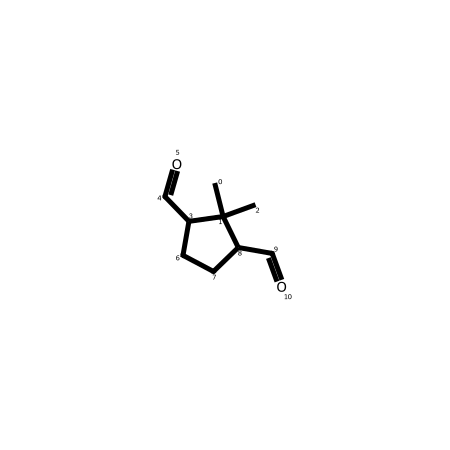 CC1(C)C(C=O)CCC1C=O